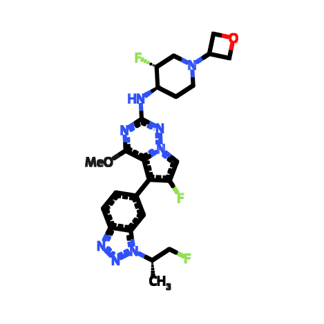 COc1nc(N[C@@H]2CCN(C3COC3)C[C@H]2F)nn2cc(F)c(-c3ccc4nnn([C@@H](C)CF)c4c3)c12